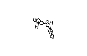 O=C1CCc2cc(C(O)CCN3CCN(c4ccccc4)CC3)ccc2N1